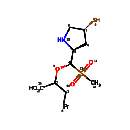 CC(C)CC(O[C@H]([C@@H]1C[C@@H](S)CN1)S(C)(=O)=O)C(=O)O